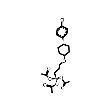 CC(=O)O[Si](CCCO[C@H]1CC[C@H](c2ccc(Cl)cc2)CC1)(OC(C)=O)OC(C)=O